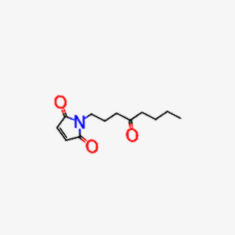 CCCCC(=O)CCCN1C(=O)C=CC1=O